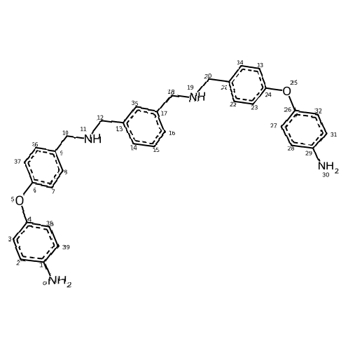 Nc1ccc(Oc2ccc(CNCc3cccc(CNCc4ccc(Oc5ccc(N)cc5)cc4)c3)cc2)cc1